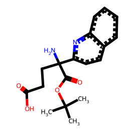 CC(C)(C)OC(=O)C(N)(CCC(=O)O)c1ccc2ccccc2n1